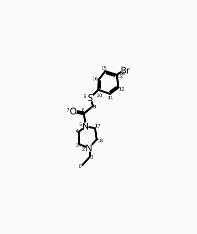 CCN1CCN(C(=O)CSc2ccc(Br)cc2)CC1